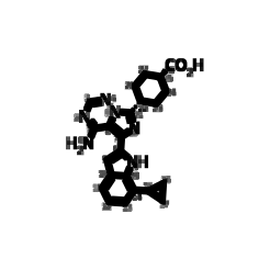 Nc1ncnn2c1c(-c1cc3cccc(C4CC4)c3[nH]1)nc2[C@H]1CC[C@H](C(=O)O)CC1